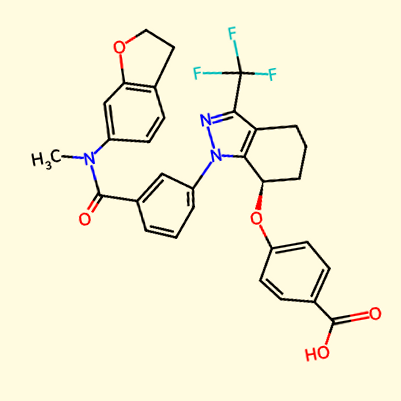 CN(C(=O)c1cccc(-n2nc(C(F)(F)F)c3c2[C@H](Oc2ccc(C(=O)O)cc2)CCC3)c1)c1ccc2c(c1)OCC2